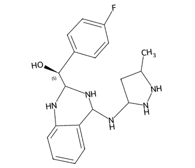 CC1CC(NC2NC([C@@H](O)c3ccc(F)cc3)Nc3ccccc32)NN1